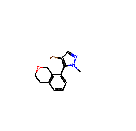 Cn1ncc(Br)c1-c1cccc2c1COCC2